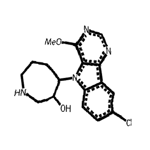 COc1ncnc2c3cc(Cl)ccc3n(C3CCCNCC3O)c12